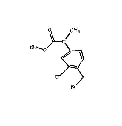 CN(C(=O)OC(C)(C)C)c1ccc(CBr)c(Cl)c1